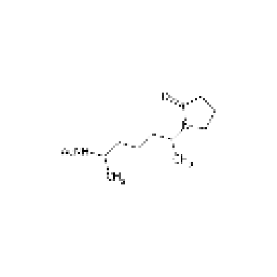 CC(=O)NC(C)CCCC(C)N1CCCC1=O